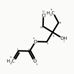 C=CC(=O)OCC(O)(CC)CCl